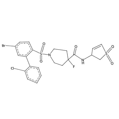 O=C(NC1C=CS(=O)(=O)C1)C1(F)CCN(S(=O)(=O)c2ccc(Br)cc2-c2ccccc2Cl)CC1